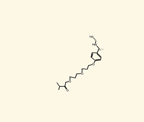 CC(C)C(=O)COCCCOCCCOc1ccc([C@@H](C)NSS)cc1